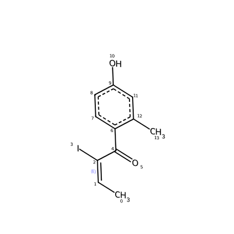 C/C=C(/I)C(=O)c1ccc(O)cc1C